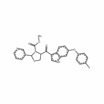 CC(C)(C)OC(=O)N1C(C(=O)c2c[nH]c3cc(Oc4ccc(F)cc4)ccc23)CSC1c1cccnc1